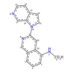 O=C(O)Nc1cccc2cnc(-n3ccc4ccncc43)cc12